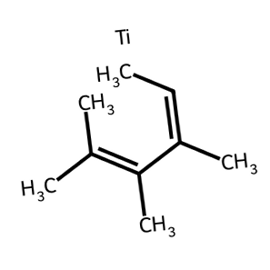 CC=C(C)C(C)=C(C)C.[Ti]